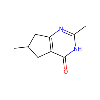 Cc1nc2c(c(=O)[nH]1)CC(C)C2